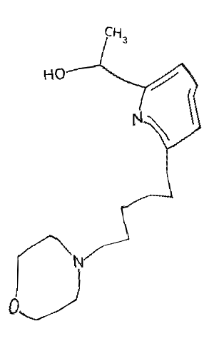 CC(O)c1cccc(CCCN2CCOCC2)n1